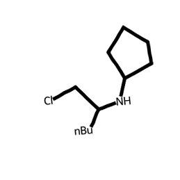 CCCCC(CCl)NC1CCCC1